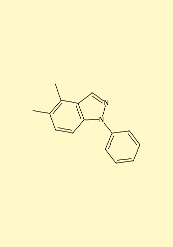 Cc1ccc2c(cnn2-c2ccccc2)c1C